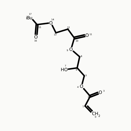 C=CC(=O)OCC(O)COC(=O)CCOC(=O)C(C)CC